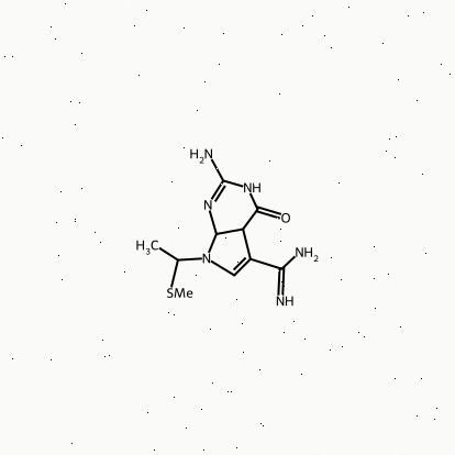 CSC(C)N1C=C(C(=N)N)C2C(=O)NC(N)=NC21